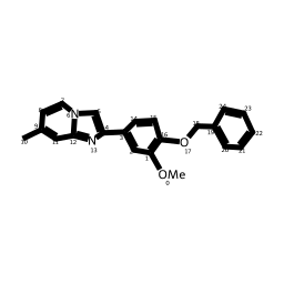 COc1cc(-c2cn3ccc(C)cc3n2)ccc1OCc1ccccc1